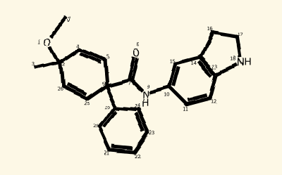 COC1(C)C=CC(C(=O)Nc2ccc3c(c2)CCN3)(c2ccccc2)C=C1